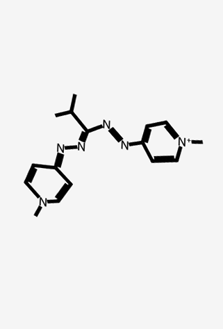 CC(C)C(N=Nc1cc[n+](C)cc1)=NN=c1ccn(C)cc1